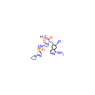 COC(=O)C(Cc1cc2ccnc(N)c2cc1C#N)N1CCC(NS(=O)(=O)c2cnc(N3CCCC3)s2)C1=O